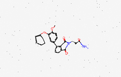 COc1ccc(-c2cccc3c2C(=O)N(CCC(N)=O)C3=O)cc1OC1CCCC1